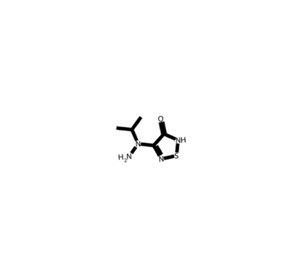 CC(C)N(N)c1ns[nH]c1=O